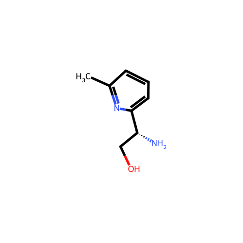 Cc1cccc([C@H](N)CO)n1